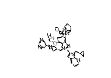 COc1cc(C(=O)N2CC3CCC2[C@@H]3N)cc2nc(-c3cc4cccnc4n3CC3CC3)n(CC3CN(c4cncnc4)C3)c12